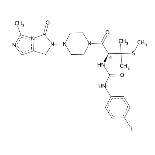 CSC(C)(C)[C@@H](NC(=O)Nc1ccc(I)cc1)C(=O)N1CCN(N2Cc3cnc(C)n3C2=O)CC1